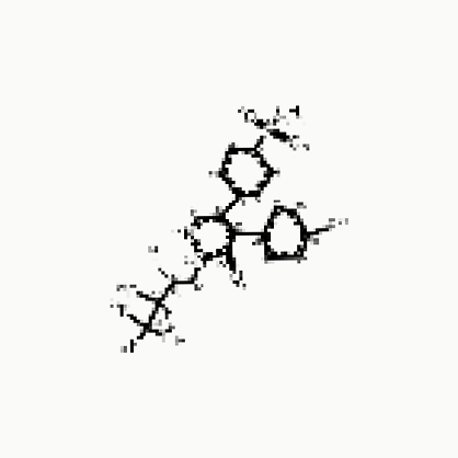 CS(=O)(=O)c1ccc(-c2cnn(C[C@@H](F)C(F)(F)C(F)(F)F)c(=O)c2-c2ccc(F)cc2)cc1